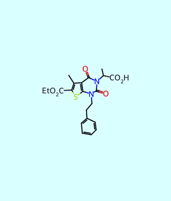 CCOC(=O)c1sc2c(c1C)c(=O)n(C(C)C(=O)O)c(=O)n2CCc1ccccc1